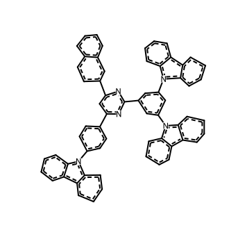 c1ccc2cc(-c3cc(-c4ccc(-n5c6ccccc6c6ccccc65)cc4)nc(-c4cc(-n5c6ccccc6c6ccccc65)cc(-n5c6ccccc6c6ccccc65)c4)n3)ccc2c1